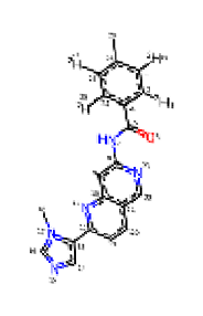 [2H]c1c([2H])c(C(=O)Nc2cc3nc(-c4cncn4C)ccc3cn2)c([2H])c([2H])c1C